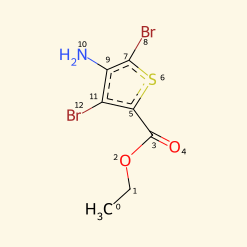 CCOC(=O)c1sc(Br)c(N)c1Br